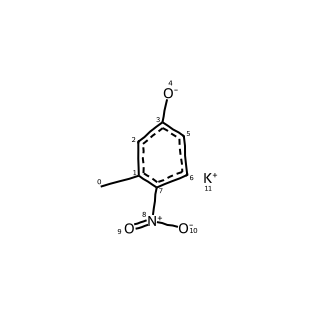 Cc1cc([O-])ccc1[N+](=O)[O-].[K+]